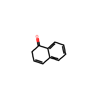 O=C1CC=Cc2c[c]ccc21